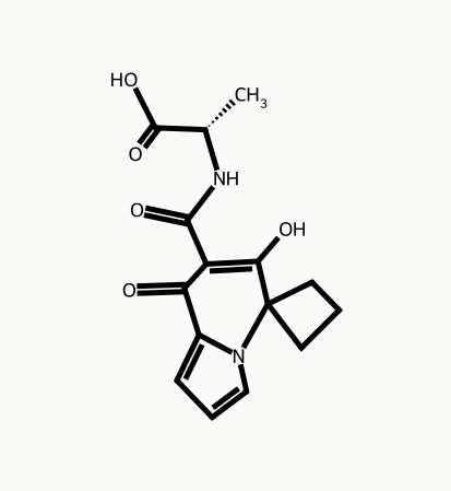 C[C@H](NC(=O)C1=C(O)C2(CCC2)n2cccc2C1=O)C(=O)O